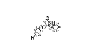 N#Cc1ccc(COC2=CC(=O)N[C@H]2Cc2ccccc2)cc1